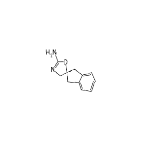 NC1=NCC2(Cc3ccccc3C2)O1